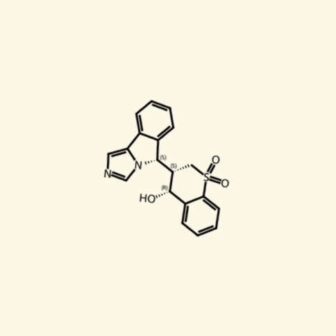 O=S1(=O)C[C@@H]([C@H]2c3ccccc3-c3cncn32)[C@@H](O)c2ccccc21